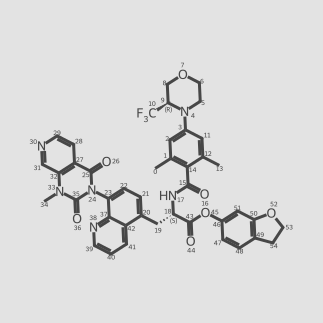 Cc1cc(N2CCOC[C@@H]2C(F)(F)F)cc(C)c1C(=O)N[C@@H](Cc1ccc(-n2c(=O)c3ccncc3n(C)c2=O)c2ncccc12)C(=O)Oc1ccc2c(c1)OCC2